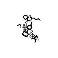 BC(B)(OCC)c1cc(CN2C(=O)C3(CCCC3)N=C2CCCC)ccc1-c1ccccc1S(=O)(=O)Nc1noc(C)c1C